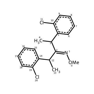 CON=C(C(C)c1ccccc1Cl)C(C)c1ccccc1Cl